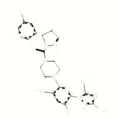 Cc1nc(C)n(-c2nc(N3CCN(C(=O)N4N=CC[C@H]4c4cncc(F)c4)CC3)c(F)cc2F)n1